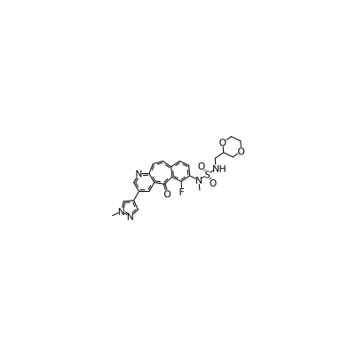 CN(c1ccc2ccc3ncc(-c4cnn(C)c4)cc3c(=O)c2c1F)S(=O)(=O)NCC1COCCO1